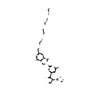 CCNc1cc(-c2c(-c3nncn3C)cnn2C)cc(N2Cc3c(cc(CNCCOCCOCCOCCN)cc3C(F)(F)F)C2=O)n1